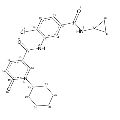 O=C(Nc1cc(C(=O)NC2CC2)ccc1Cl)c1ccc(=O)n(C2CCCCC2)c1